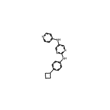 c1cc(Nc2cnc(Nc3ccc(C4CCC4)cc3)nc2)ccn1